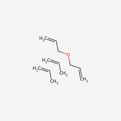 C=CC.C=CC.C=CCOCC=C